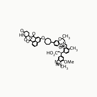 COc1cc([C@@H](CC(=O)O)c2ccc(C)c(CN3C[C@@H](C)Oc4cc(C5CCCC(Oc6cc7c8c(cccc8c6)C(=O)N(C6CCC(=O)NC6=O)C7=O)CC5)ccc4S3(=O)=O)c2)cc2nnn(C)c12